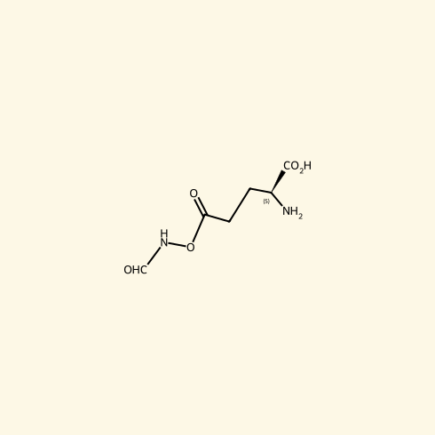 N[C@@H](CCC(=O)ONC=O)C(=O)O